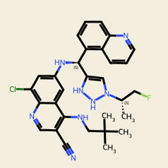 C[C@@H](CF)N1C=C([C@@H](Nc2cc(Cl)c3ncc(C#N)c(NCC(C)(C)C)c3c2)c2cccc3ncccc23)NN1